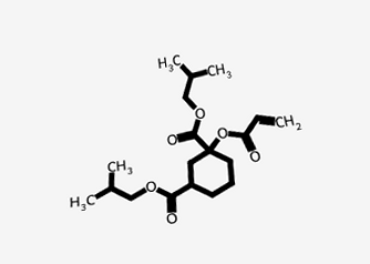 C=CC(=O)OC1(C(=O)OCC(C)C)CCCC(C(=O)OCC(C)C)C1